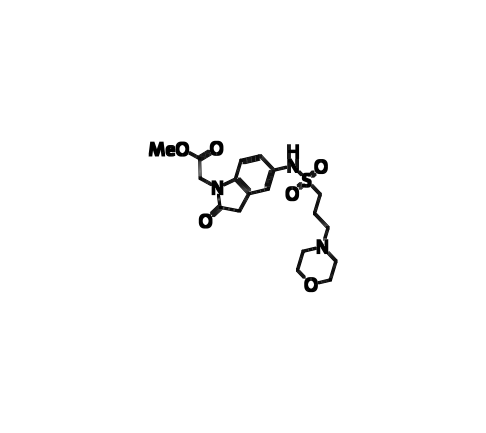 COC(=O)CN1C(=O)Cc2cc(NS(=O)(=O)CCCN3CCOCC3)ccc21